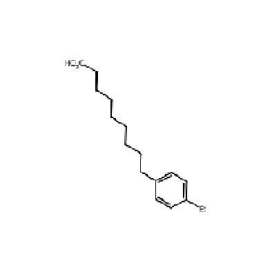 CCc1ccc(CCCCCCCCC(=O)O)cc1